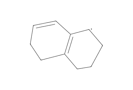 [CH]1CCCC2=C1C=CCC2